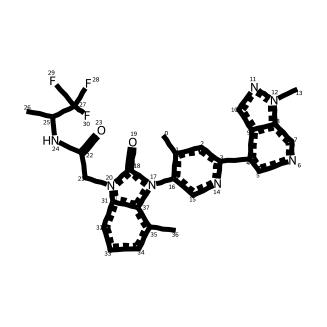 Cc1cc(-c2cncc3c2cnn3C)ncc1-n1c(=O)n(CC(=O)NC(C)C(F)(F)F)c2cccc(C)c21